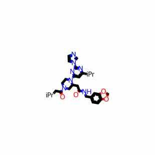 CC(C)CC(=O)N1CCN(c2cc(C(C)C)nc(-n3ccnc3)n2)C(CC(=O)NCc2ccc3c(c2)OCO3)C1